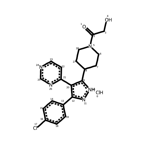 Cl.O=C(CO)N1CCC(c2[nH]nc(-c3ccc(Cl)cc3)c2-c2ccncn2)CC1